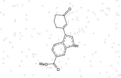 COC(=O)c1ccc2c(C3=CC(=O)CCC3)c[nH]c2c1